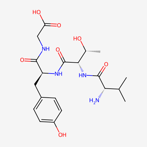 CC(C)[C@H](N)C(=O)N[C@H](C(=O)N[C@@H](Cc1ccc(O)cc1)C(=O)NCC(=O)O)[C@@H](C)O